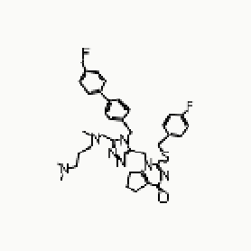 CN(C)CCCN(C)Cc1nnc(Cn2c(SCc3ccc(F)cc3)nc(=O)c3c2CCC3)n1Cc1ccc(-c2ccc(CF)cc2)cc1